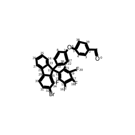 O=Cc1ccc(Oc2ccc(C3(c4c(F)c(F)c(F)c(F)c4F)c4ccccc4-c4ccc(Br)cc43)cc2)cc1